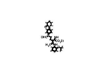 CCOC(=O)C(=N)/C(CCN(C=O)c1ccc(N2CCCCC2=O)cc1)=C(/C)Nc1ccccc1OC(F)F